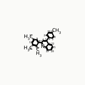 Cc1ccc(-c2cc(-c3cc(C)cc(C)c3C)nc3ccccc23)cc1